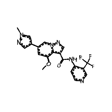 COc1cc(-c2cnn(C)c2)cn2ncc(C(=O)Nc3ccncc3C(F)(F)F)c12